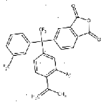 C=C(C)c1ccc(C(c2cccc(C(F)(F)F)c2)(c2ccc3c(c2)C(=O)OC3=O)C(F)(F)F)cc1C(C)=O